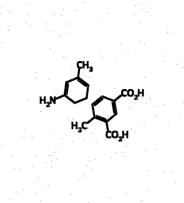 CC1=CCCC(N)=C1.Cc1ccc(C(=O)O)cc1C(=O)O